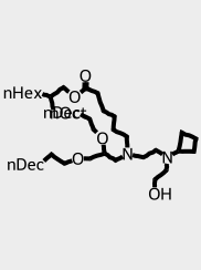 CCCCCCCCCCCCOCC(CN(CCCCCC(=O)OCC(CCCCCC)CCCCCCCC)CCN(CCO)C1CCC1)OCCCCCCCCCCCC